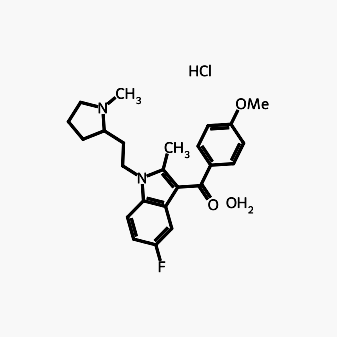 COc1ccc(C(=O)c2c(C)n(CCC3CCCN3C)c3ccc(F)cc23)cc1.Cl.O